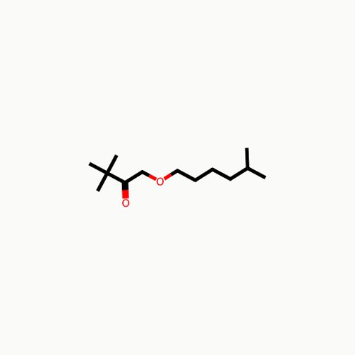 CC(C)CCCCOCC(=O)C(C)(C)C